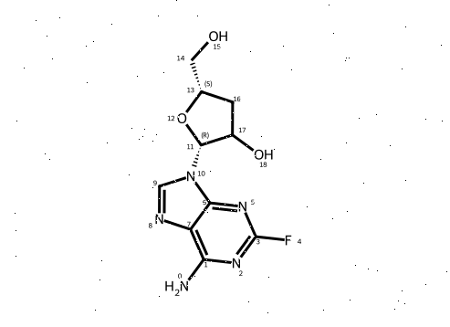 Nc1nc(F)nc2c1ncn2[C@@H]1O[C@H](CO)CC1O